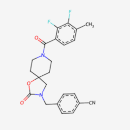 Cc1ccc(C(=O)N2CCC3(CC2)CN(Cc2ccc(C#N)cc2)C(=O)O3)c(F)c1F